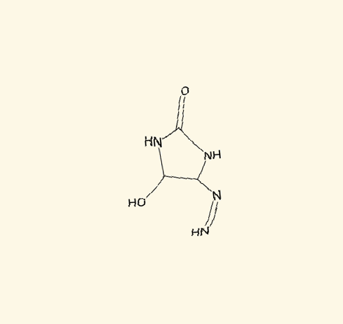 N=NC1NC(=O)NC1O